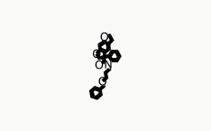 O=C1N(CCCOCc2ccccc2)c2ccccc2C12COc1cc3c(cc12)CCO3